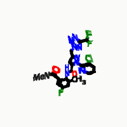 CNC(=O)c1cc(F)cc(C)c1NC(=O)c1cc(Cn2nnc(C(F)F)n2)nn1-c1ncccc1Cl